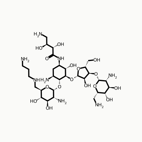 NCCCNC[C@H]1O[C@H](O[C@H]2[C@H](O[C@@H]3O[C@H](CO)[C@@H](O[C@H]4O[C@@H](CN)[C@@H](O)[C@H](O)[C@H]4N)[C@H]3O)[C@@H](O)[C@H](NC(=O)[C@@H](O)[C@@H](O)CN)C[C@@H]2N)[C@H](N)[C@@H](O)[C@@H]1O